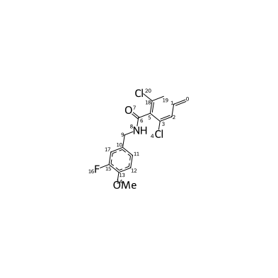 C=C/C=C(Cl)\C(C(=O)NCc1ccc(OC)c(F)c1)=C(/C)Cl